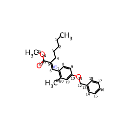 CCCCC/C(=C\c1ccc(OCc2ccccc2)cc1C)C(=O)OC